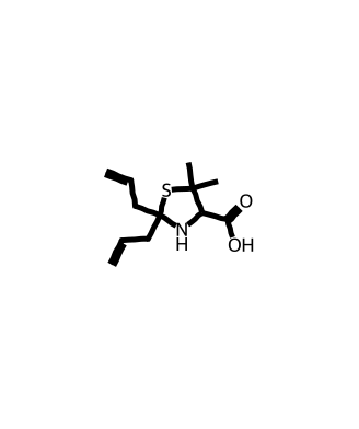 C=CCC1(CC=C)NC(C(=O)O)C(C)(C)S1